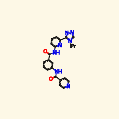 CC(C)n1cnnc1-c1cccc(NC(=O)c2cccc(NC(=O)c3ccncc3)c2)n1